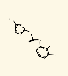 COc1c(F)cccc1NC(=O)Nc1ncc(C(C)C)s1